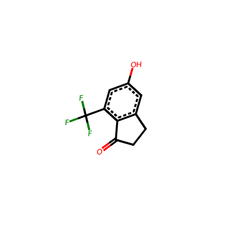 O=C1CCc2cc(O)cc(C(F)(F)F)c21